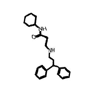 O=C(CCNCCC(c1ccccc1)c1ccccc1)NC1CCCCC1